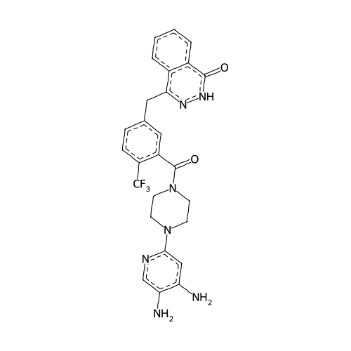 Nc1cnc(N2CCN(C(=O)c3cc(Cc4n[nH]c(=O)c5ccccc45)ccc3C(F)(F)F)CC2)cc1N